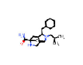 CC(C)CN1C(CC2CCCCC2)C2CC3(C(N)=O)CC1C2CN3